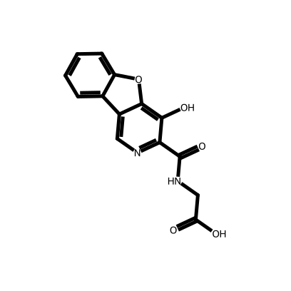 O=C(O)CNC(=O)c1ncc2c(oc3ccccc32)c1O